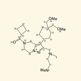 CNCCN(C)Cc1nn2c(c1C1CCC(COC)(COC)CC1)CN(C(=O)C1CCC1)CC2